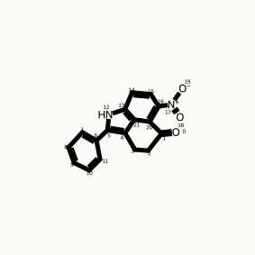 O=C1CCc2c(-c3ccccc3)[nH]c3ccc([N+](=O)[O-])c1c23